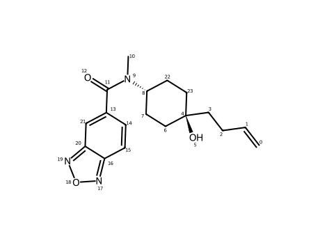 C=CCC[C@]1(O)CC[C@H](N(C)C(=O)c2ccc3nonc3c2)CC1